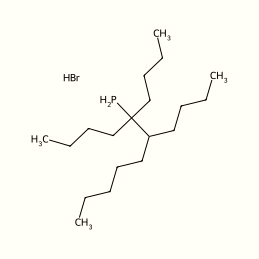 Br.CCCCCC(CCCC)C(P)(CCCC)CCCC